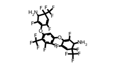 NC1C(F)=C(Oc2cc(OC3=C(F)C(N)C(F)(C(F)(F)F)C=C3F)c(C(F)(F)F)c(F)c2F)C(F)=CC1(F)C(F)(F)F